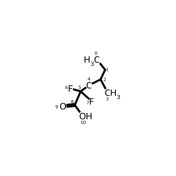 CCC(C)CC(F)(F)C(=O)O